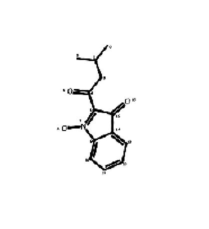 CC(C)CC(=O)C1=[N+]([O-])c2ccccc2C1=O